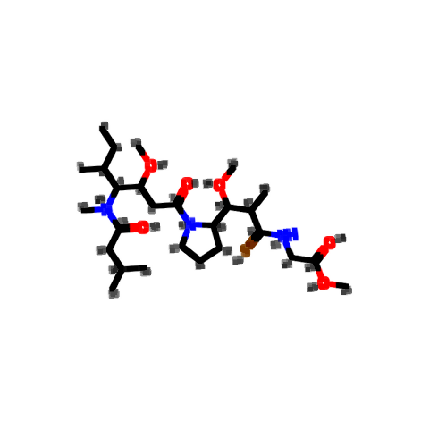 CCC(C)C(C(CC(=O)N1CCCC1C(OC)C(C)C(=S)NCC(=O)OC)OC)N(C)C(=O)CC(C)C